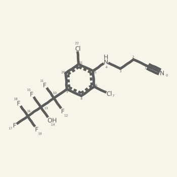 N#CCCNc1c(Cl)cc(C(F)(F)C(O)(F)C(F)(F)F)cc1Cl